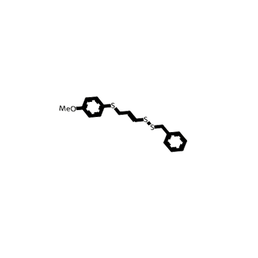 COc1ccc(SC/C=C/SSCc2ccccc2)cc1